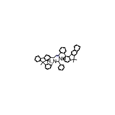 CC1(C)c2cc3ccccc3cc2-c2c(-c3ccccc3/C(=C/Cc3ccc4c(c3)C(C)(c3ccccc3)c3ccccc3-4)NC(N)c3ccccc3)cccc21